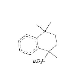 CCOC(=O)C1(C)CCC(C)(C)c2ccccc21